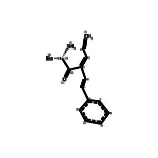 C=CC=C(C=Cc1ccccc1)C(=O)[C@@H](N)[C@@H](C)CC